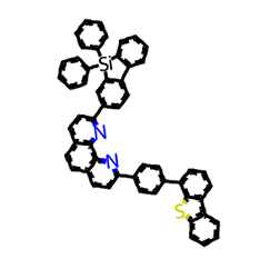 c1ccc([Si]2(c3ccccc3)c3ccccc3-c3ccc(-c4ccc5ccc6ccc(-c7ccc(-c8cccc9c8sc8ccccc89)cc7)nc6c5n4)cc32)cc1